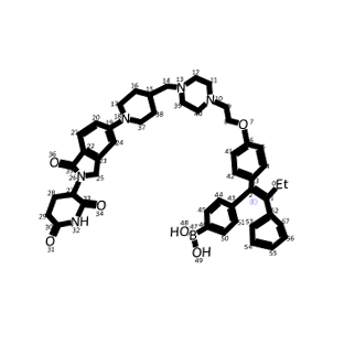 CC/C(=C(\c1ccc(OCCN2CCN(CC3CCN(c4ccc5c(c4)CN(C4CCC(=O)NC4=O)C5=O)CC3)CC2)cc1)c1ccc(B(O)O)cc1)c1ccccc1